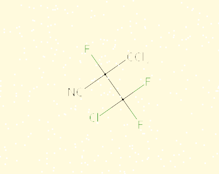 N#CC(F)(C(F)(F)Cl)C(Cl)(Cl)Cl